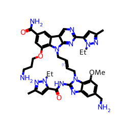 CCn1nc(C)cc1C(=O)Nc1nc2cc(CN)cc(OC)c2n1C/C=C/Cn1c2nc(-c3cc(C)nn3CC)ncc2c2cc(C(N)=O)cc(OCCCN)c21